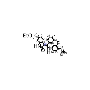 CCOC(=O)c1ccc2c(c1)NC(=O)/C2=C(\Nc1ccc(CN(C)C)c(F)c1)c1ccccc1